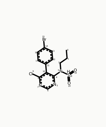 CCCN(c1ncnc(Cl)c1-c1ccc(Br)cc1)[SH](=O)=O